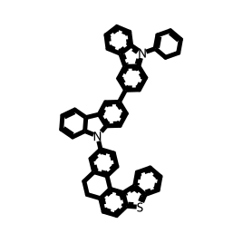 C1=CCCC(n2c3ccccc3c3cc(-c4ccc5c(c4)C4C=CC=CC4N5c4ccc5c(c4)CCc4ccc6sc7ccccc7c6c4-5)ccc32)=C1